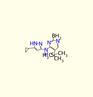 Bc1ncc([Si](C)(C)C)c(Nc2cc(C3CC3)[nH]n2)n1